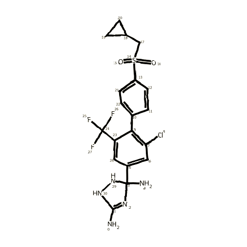 NC1=NC(N)(c2cc(Cl)c(-c3ccc(S(=O)(=O)CC4CC4)cc3)c(C(F)(F)F)c2)NN1